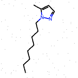 CCCCCCCCn1nccc1C